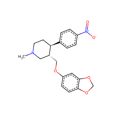 CN1CC[C@@H](c2ccc([N+](=O)[O-])cc2)[C@H](COc2ccc3c(c2)OCO3)C1